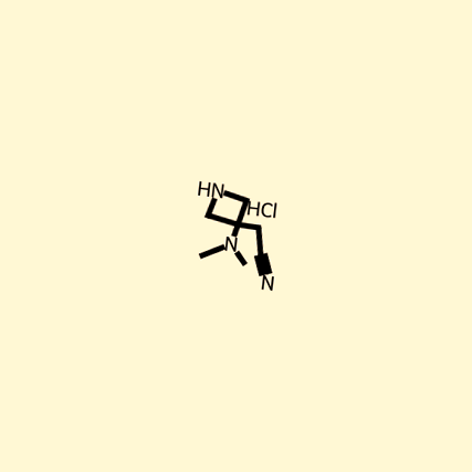 CN(C)C1(CC#N)CNC1.Cl